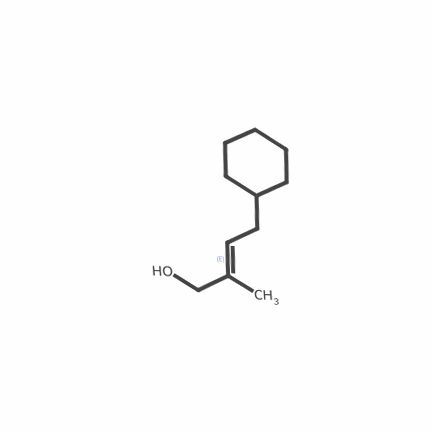 C/C(=C\CC1CCCCC1)CO